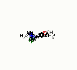 CC(C)O[C@H]1CC[C@H](CCCN2CCN(C(C)C)C[C@@H]2C(F)(F)F)CC1